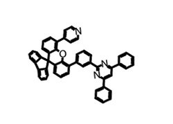 c1ccc(-c2cc(-c3ccccc3)nc(-c3cccc(-c4cccc5c4Oc4c(-c6ccncc6)cccc4C54c5ccccc5-c5ccccc54)c3)n2)cc1